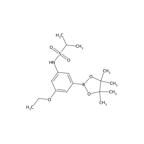 CCOc1cc(NS(=O)(=O)C(C)C)cc(B2OC(C)(C)C(C)(C)O2)c1